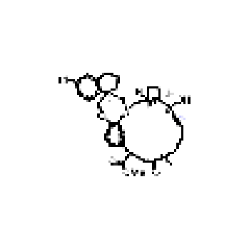 COC(=O)C1CC(=O)N(C)CC/C=C/[C@H](O)[C@@H]2CC[C@H]2CN2C[C@@]3(CCCc4cc(Cl)ccc43)COc3ccc1cc32